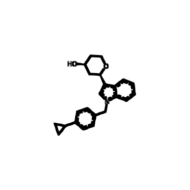 O[C@H]1CCO[C@@H](c2cn(Cc3ccc(C4CC4)cc3)c3ccccc23)C1